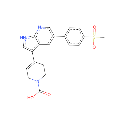 CS(=O)(=O)c1ccc(-c2cnc3[nH]cc(C4=CCN(C(=O)O)CC4)c3c2)cc1